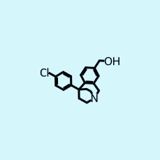 OCc1ccc2c(c1)CN1CCC2(c2ccc(Cl)cc2)CC1